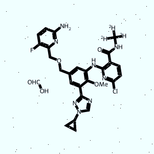 O=CO.[2H]C([2H])([2H])NC(=O)c1ccc(Cl)nc1Nc1cc(COCc2nc(N)ccc2F)cc(-c2ncn(C3CC3)n2)c1OC